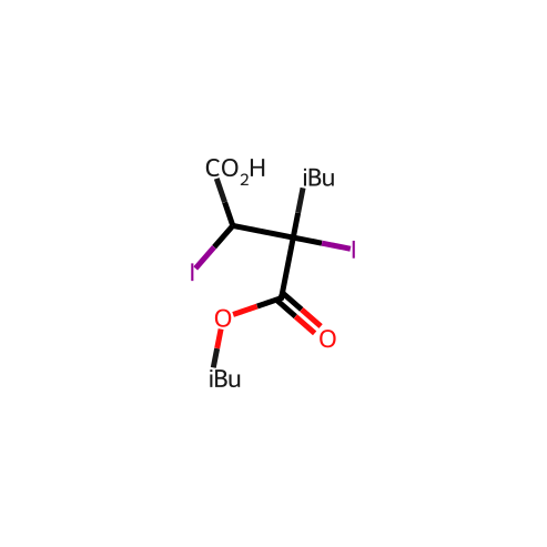 CCC(C)OC(=O)C(I)(C(C)CC)C(I)C(=O)O